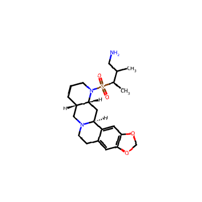 CC(CN)C(C)S(=O)(=O)N1CCC[C@H]2CN3CCc4cc5c(cc4[C@@H]3C[C@H]21)OCO5